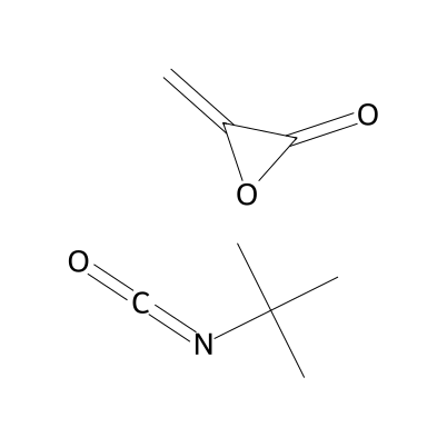 C=C1OC1=O.CC(C)(C)N=C=O